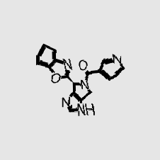 O=C(c1cccnc1)N1Cc2[nH]cnc2[C@H]1c1nc2ccccc2o1